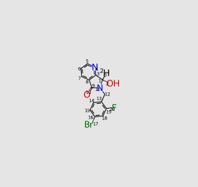 [2H]C1(O)c2ncccc2C(=O)N1Cc1ccc(Br)cc1F